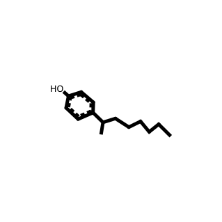 CCCCCCC(C)c1ccc(O)cc1